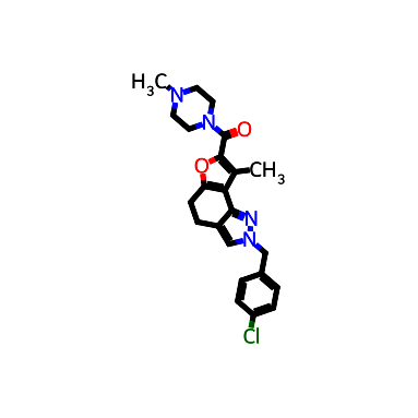 Cc1c(C(=O)N2CCN(C)CC2)oc2c1-c1nn(Cc3ccc(Cl)cc3)cc1CC2